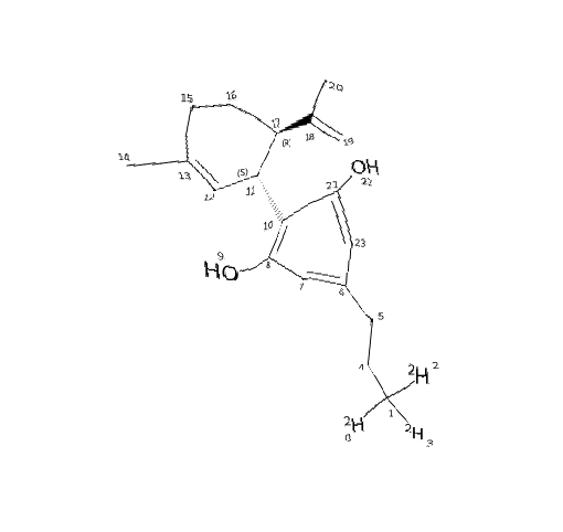 [2H]C([2H])([2H])CCc1cc(O)c([C@@H]2C=C(C)CC[C@H]2C(=C)C)c(O)c1